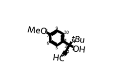 C#CC(O)(c1ccc(OC)cc1)C(C)(C)C